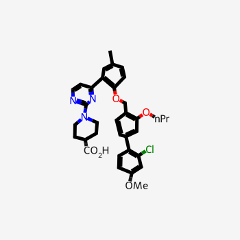 CCCOc1cc(-c2ccc(OC)cc2Cl)ccc1COc1ccc(C)cc1-c1ccnc(N2CCC(C(=O)O)CC2)n1